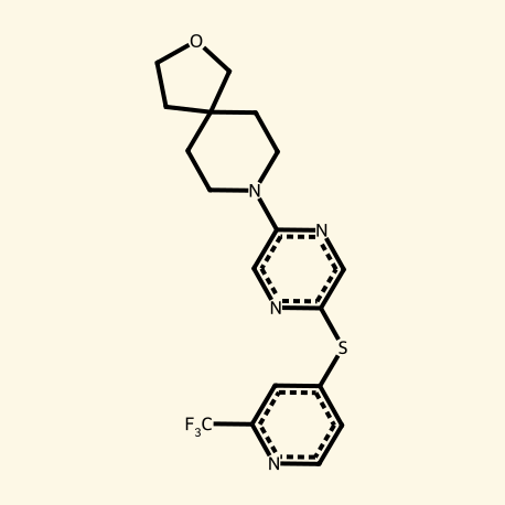 FC(F)(F)c1cc(Sc2cnc(N3CCC4(CCOC4)CC3)cn2)ccn1